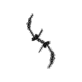 CCCCCCCCCCC(Oc1ccc(-c2ccc(OC(CCCCCCCCCC)[Si](C)(O[Si](C)(C)C)O[Si](C)(CCCCCCCCCCCOc3ccc(C(=O)Oc4ccc(OCCCCCC)cc4)cc3)O[Si](C)(C)C)cc2)cc1)[Si](C)(O[Si](C)(C)C)O[Si](C)(CCCCCCCCCCCOc1ccc(C(=O)Oc2ccc(OCCCCCC)cc2)cc1)O[Si](C)(C)C